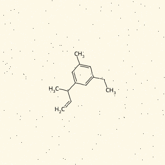 C=C[C](C)c1cc(C)cc(CC)c1